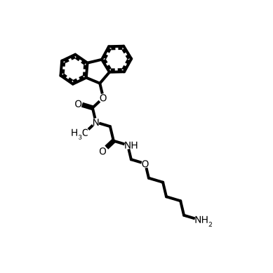 CN(CC(=O)NCOCCCCCN)C(=O)OC1c2ccccc2-c2ccccc21